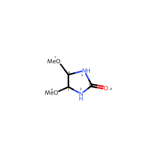 COC1NC(=O)NC1OC